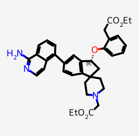 CCOC(=O)Cc1ccccc1O[C@@H]1CC2(CCN(CC(=O)OCC)CC2)c2ccc(-c3cccc4c(N)nccc34)cc21